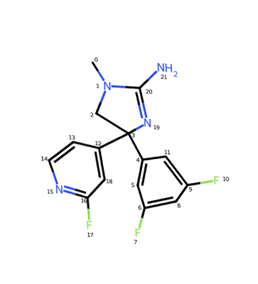 CN1CC(c2cc(F)cc(F)c2)(c2ccnc(F)c2)N=C1N